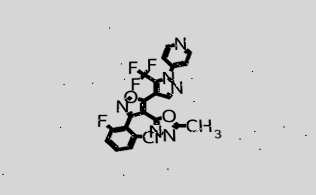 Cc1nnc(-c2c(-c3c(F)cccc3Cl)noc2-c2cnn(-c3ccncc3)c2C(F)(F)F)o1